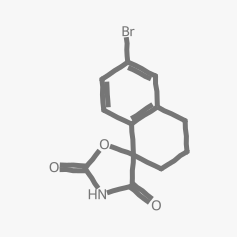 O=C1NC(=O)C2(CCCc3cc(Br)ccc32)O1